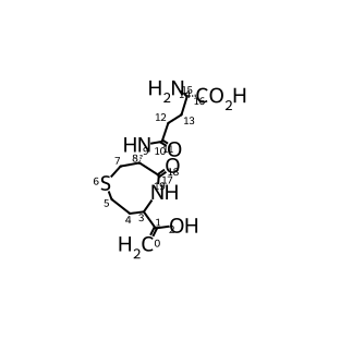 C=C(O)C1CCSC[C@H](NC(=O)CC[C@H](N)C(=O)O)C(=O)N1